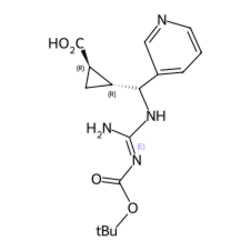 CC(C)(C)OC(=O)/N=C(\N)NC(c1cccnc1)[C@@H]1C[C@H]1C(=O)O